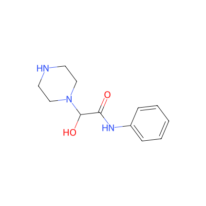 O=C(Nc1ccccc1)C(O)N1CCNCC1